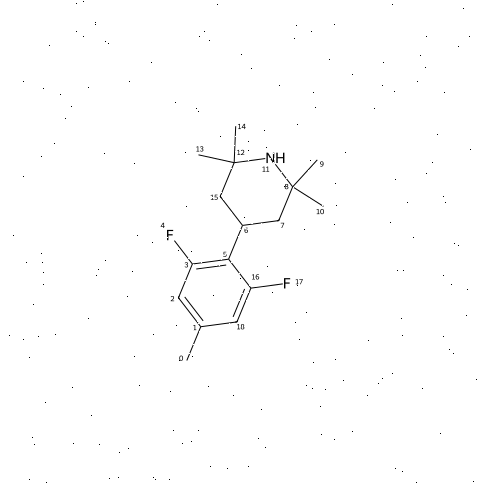 Cc1cc(F)c(C2CC(C)(C)NC(C)(C)C2)c(F)c1